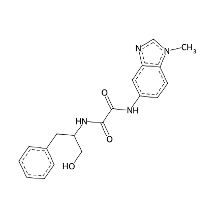 Cn1cnc2cc(NC(=O)C(=O)NC(CO)Cc3ccccc3)ccc21